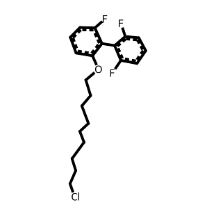 Fc1cccc(F)c1-c1c(F)cccc1OCCCCCCCCCCl